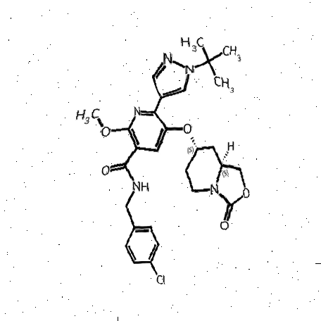 COc1nc(-c2cnn(C(C)(C)C)c2)c(O[C@H]2CCN3C(=O)OC[C@@H]3C2)cc1C(=O)NCc1ccc(Cl)cc1